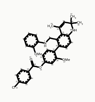 COc1ccccc1NCc1c(-c2ccc(OC(=O)c3ccc(Cl)cc3)cc2OC)ccc2c1C(C)=CC(C)(C)N2